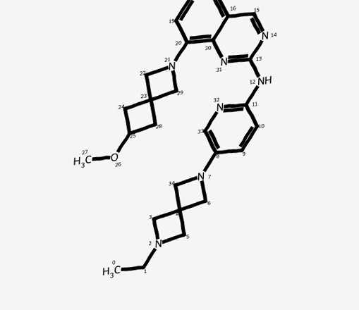 CCN1CC2(C1)CN(c1ccc(Nc3ncc4cccc(N5CC6(CC(OC)C6)C5)c4n3)nc1)C2